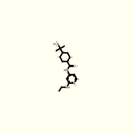 CCNc1cc(NC(=O)C2CCC(C(C)(C)N)CC2)ccn1